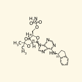 CC1(C)O[C@@H]2[C@H](O1)[C@@H](COS(N)(=O)=O)O[C@H]2n1cnc2c(N[C@H]3CCc4ccccc43)ncnc21